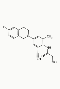 C#Cc1cc(N2CCc3cc(F)ccc3C2)cc(C)c1NC(=O)CC(C)(C)C